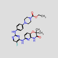 CCOC(=O)N1CCN(c2ccc(Nc3ncc(F)c(Nc4ccc5c(n4)NC(=O)C(C)(C)O5)n3)cc2)CC1